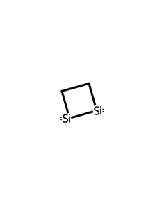 C1C[Si][Si]1